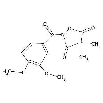 COc1ccc(C(=O)N2OC(=O)C(C)(C)C2=O)cc1OC